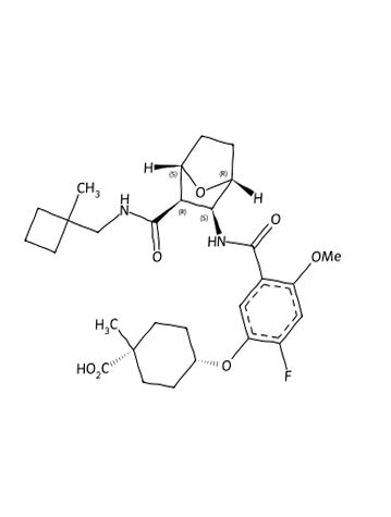 COc1cc(F)c(O[C@H]2CC[C@@](C)(C(=O)O)CC2)cc1C(=O)N[C@H]1[C@@H](C(=O)NCC2(C)CCC2)[C@@H]2CC[C@H]1O2